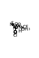 O=C(NC[C@H](O)C(F)(F)F)c1cc(-c2ccc(Cl)cc2)nn(-c2cnsc2)c1=O